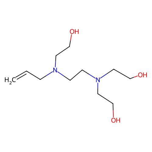 C=CCN(CCO)CCN(CCO)CCO